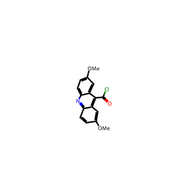 COc1ccc2nc3ccc(OC)cc3c(C(=O)Cl)c2c1